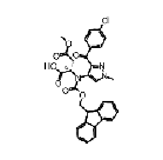 COC(=O)C[C@@H](C(=O)O)N(C(=O)OCC1c2ccccc2-c2ccccc21)c1cn(C)nc1C(=O)c1ccc(Cl)cc1